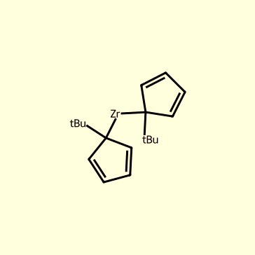 CC(C)(C)[C]1([Zr][C]2(C(C)(C)C)C=CC=C2)C=CC=C1